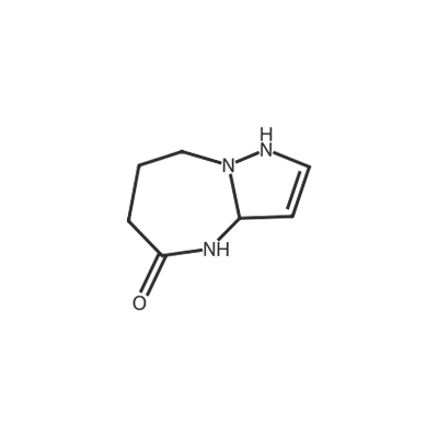 O=C1CCCN2NC=CC2N1